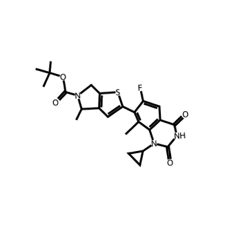 Cc1c(-c2cc3c(s2)CN(C(=O)OC(C)(C)C)C3C)c(F)cc2c(=O)[nH]c(=O)n(C3CC3)c12